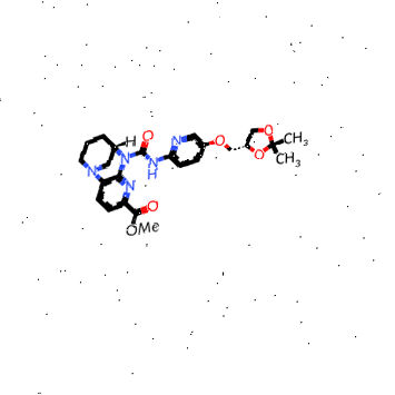 COC(=O)c1ccc2c(n1)N(C(=O)Nc1ccc(OC[C@@H]3COC(C)(C)O3)cn1)[C@H]1CCCN2C1